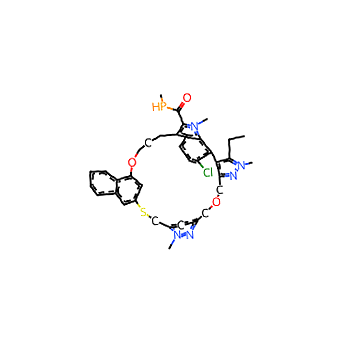 CCc1c2c(nn1C)COCc1cc(n(C)n1)CSc1cc(c3ccccc3c1)OCCCc1c(C(=O)PC)n(C)c3c-2c(Cl)ccc13